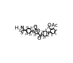 CC(=O)OCc1ccccc1N1CCN(C(=O)C2CN(c3ccc(C(N)=S)cc3)C(=O)O2)CC1